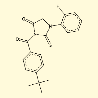 CC(C)(C)c1ccc(C(=O)N2C(=O)CN(c3ccccc3F)C2=S)cc1